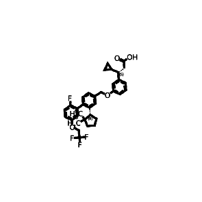 CC1(C)CCC[C@H]1c1cc(COc2cccc([C@@H](CC(=O)O)C3CC3)c2)ccc1-c1cc(OCC(F)(F)F)ccc1F